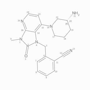 Cn1c(=O)n(Cc2ccccc2C#N)c2c(N3CCC[C@@H](N)C3)ccnc21